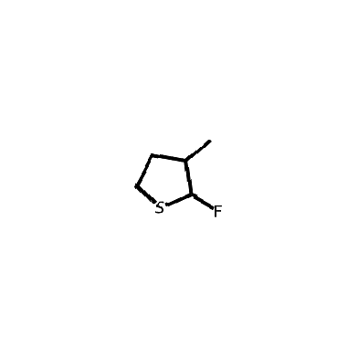 CC1CCSC1F